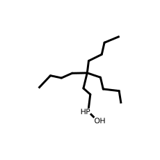 CCCCC(CCCC)(CCCC)CCPO